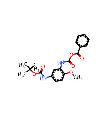 COc1ccc(NC(=O)OC(C)(C)C)cc1NC(=O)OC(=O)c1ccccc1